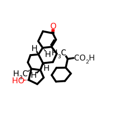 CC(C(=O)O)C1CCCCC1.C[C@]12CC[C@H]3[C@@H](CCC4=CC(=O)CC[C@@H]43)[C@@H]1CC[C@@H]2O